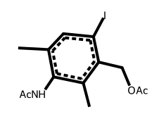 CC(=O)Nc1c(C)cc(I)c(COC(C)=O)c1C